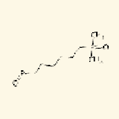 CP(C)(=O)CCCCCCP=O